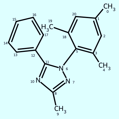 Cc1cc(C)c(-n2nc(C)nc2-c2ccccc2)c(C)c1